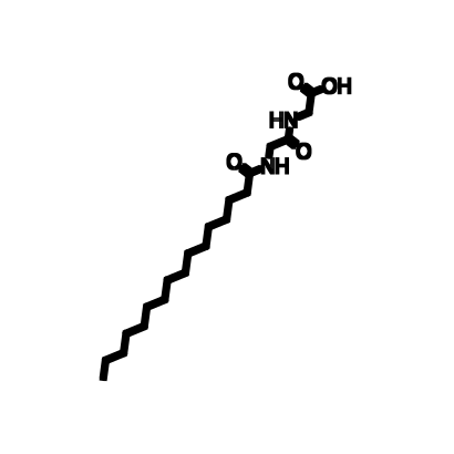 CCCCCCCCCCCCCCCC(=O)NCC(=O)NCC(=O)O